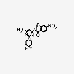 Cc1cc(NC(=O)c2ccc([N+](=O)[O-])cc2F)nc(N2CCC(F)(F)CC2)n1